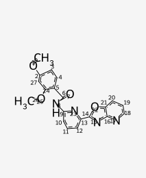 COc1ccc(C(=O)Nc2cccc(-c3nc4ncccc4o3)n2)c(OC)c1